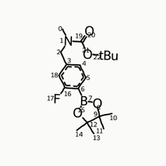 CN(Cc1ccc(B2OC(C)(C)C(C)(C)O2)c(F)c1)C(=O)OC(C)(C)C